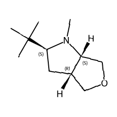 CN1[C@@H]2COC[C@@H]2C[C@H]1C(C)(C)C